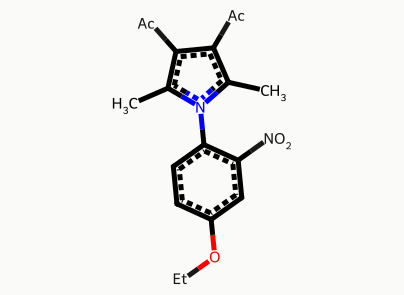 CCOc1ccc(-n2c(C)c(C(C)=O)c(C(C)=O)c2C)c([N+](=O)[O-])c1